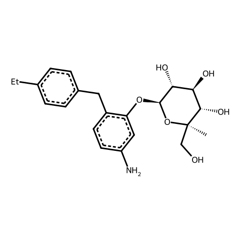 CCc1ccc(Cc2ccc(N)cc2O[C@@H]2O[C@](C)(CO)[C@@H](O)[C@H](O)[C@H]2O)cc1